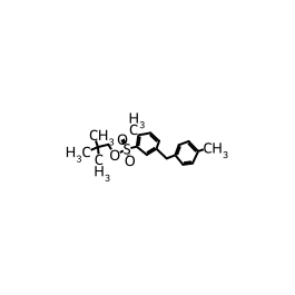 Cc1ccc(Cc2ccc(C)c(S(=O)(=O)OCC(C)(C)C)c2)cc1